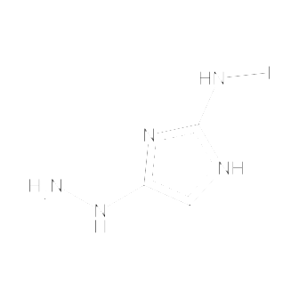 NNc1c[nH]c(NI)n1